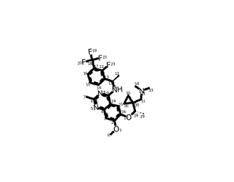 COc1cc2nc(C)nc(N[C@H](C)c3cccc(C(F)(F)F)c3F)c2cc1O[C@@H](C)C1(CN(C)C)CC1